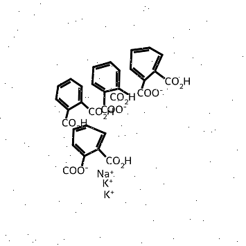 O=C(O)c1ccccc1C(=O)O.O=C([O-])c1ccccc1C(=O)O.O=C([O-])c1ccccc1C(=O)O.O=C([O-])c1ccccc1C(=O)O.[K+].[K+].[Na+]